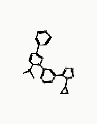 CN(C)C1C=CC(c2ccncc2)=CN1c1cccc(-c2nncn2C2CC2)c1